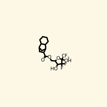 O=C(OCC1OC(O)(C(F)(F)F)C(F)(F)C1O)C1CC2CC1C1CCCCC21